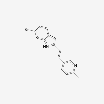 Cc1ccc(/C=C/c2cc3ccc(Br)cc3[nH]2)cn1